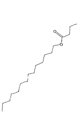 CCCCCCCCCCCCCCOC(=O)CCC